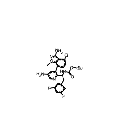 Cn1nc(N)c2c(Cl)ccc(-c3cc(N)cnc3[C@H](Cc3cc(F)cc(F)c3)NC(=O)OC(C)(C)C)c21